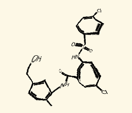 Cc1ccc(CO)cc1NC(=O)c1cc(Cl)ccc1NS(=O)(=O)c1ccc(Cl)cc1